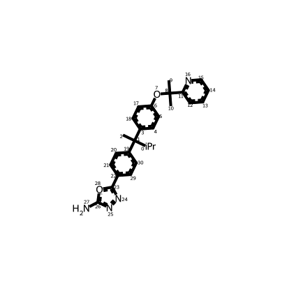 CC(C)C(C)(c1ccc(OC(C)(C)c2ccccn2)cc1)c1ccc(-c2nnc(N)o2)cc1